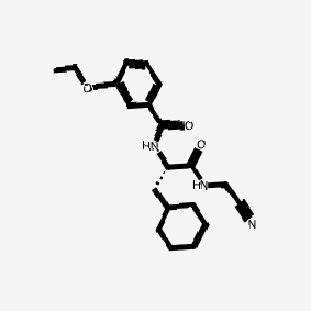 CCOc1cccc(C(=O)N[C@@H](CC2CCCCC2)C(=O)NCC#N)c1